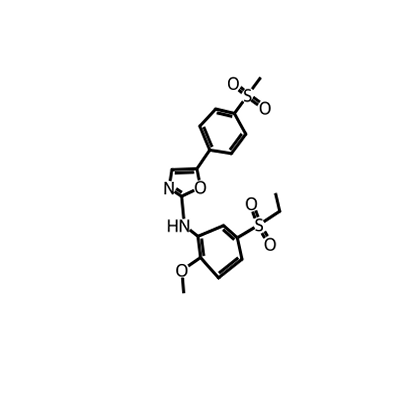 CCS(=O)(=O)c1ccc(OC)c(Nc2ncc(-c3ccc(S(C)(=O)=O)cc3)o2)c1